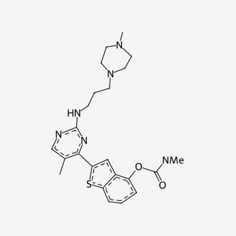 CNC(=O)Oc1cccc2sc(-c3nc(NCCCN4CCN(C)CC4)ncc3C)cc12